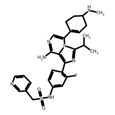 CNC1CC=C(c2cnc(N)c3c(-c4ccc(NS(=O)(=O)Cc5cccnc5)cc4F)nc(C(C)C)n23)CC1